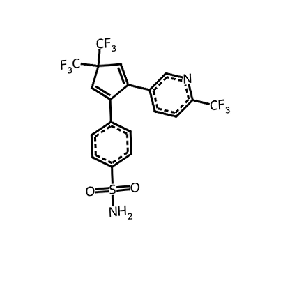 NS(=O)(=O)c1ccc(C2=CC(C(F)(F)F)(C(F)(F)F)C=C2c2ccc(C(F)(F)F)nc2)cc1